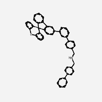 c1ccc(-c2ccc(CNCc3ccc(-c4cccc(-c5ccc6c(c5)-c5ccccc5C65c6ccccc6Oc6ccccc65)c4)cc3)cc2)cc1